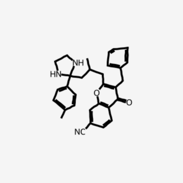 Cc1ccc(C2(CC(C)Cc3oc4cc(C#N)ccc4c(=O)c3Cc3ccccc3)NCCN2)cc1